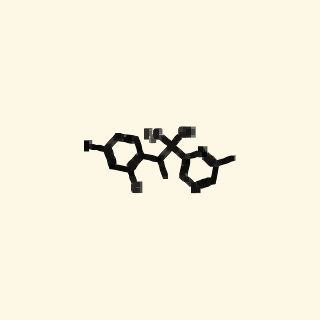 Cc1cncc(C(O)(C(C)c2ccc(F)cc2Cl)C(F)(F)F)n1